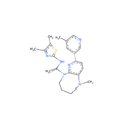 C=C(Nc1nc(C)c(C)s1)N1CCCCN(C)c2ccc(-c3cncc(C)c3)nc21